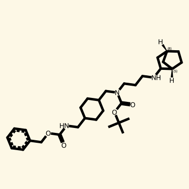 CC(C)(C)OC(=O)N(CCCNC1C[C@@H]2CC[C@H]1C2)CC1CCC(CNC(=O)OCc2ccccc2)CC1